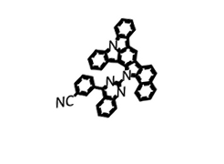 N#Cc1cccc(-c2nc(-n3c4c5ccccc5ccc4c4cc5c6ccccc6n6c7ccccc7c(c43)c56)nc3ccccc23)c1